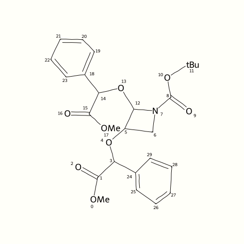 COC(=O)C(OC1CN(C(=O)OC(C)(C)C)C1OC(C(=O)OC)c1ccccc1)c1ccccc1